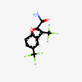 NC(=O)c1oc2ccc(C(F)(F)F)cc2c1C(F)(F)F